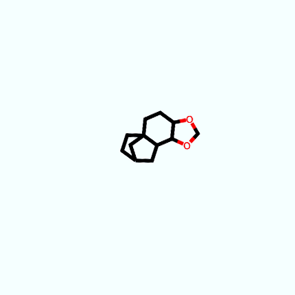 C1OC2CCC34CCC(CC3C2O1)C4